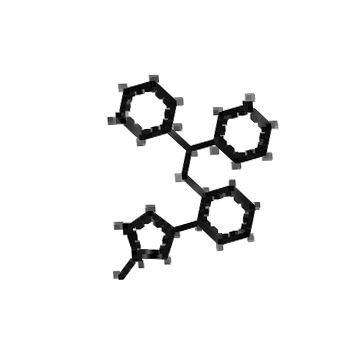 Cn1cc(-c2ccccc2CC(c2cccnc2)c2cccnc2)cn1